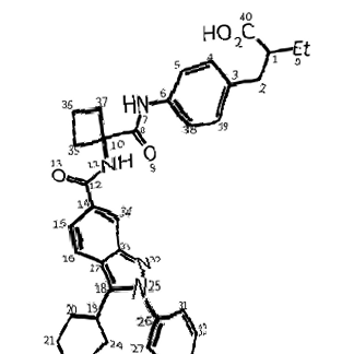 CCC(Cc1ccc(NC(=O)C2(NC(=O)c3ccc4c(C5CCCCC5)n(-c5ccccc5)nc4c3)CCC2)cc1)C(=O)O